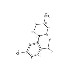 CC(C)c1ccc(Cl)cc1N1CCC(N)CC1